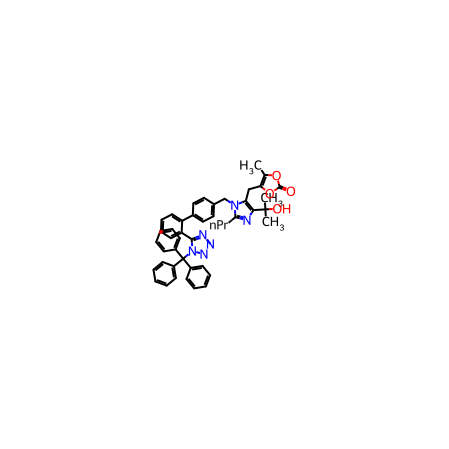 CCCc1nc(C(C)(C)O)c(Cc2oc(=O)oc2C)n1Cc1ccc(-c2ccccc2-c2nnnn2C(c2ccccc2)(c2ccccc2)c2ccccc2)cc1